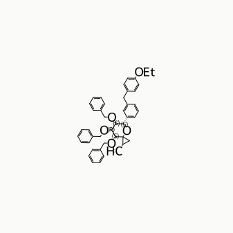 [CH]C1CC12O[C@@H](c1cccc(Cc3ccc(OCC)cc3)c1)[C@H](OCc1ccccc1)[C@@H](OCc1ccccc1)[C@@H]2OCc1ccccc1